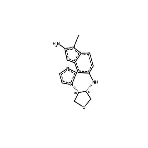 Cn1c(N)nc2cc(N[C@@H]3COC[C@@H]3n3ccnc3)ccc21